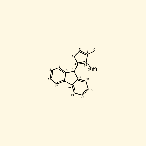 CC1=CCC(C2c3ccccc3-c3ccccc32)=C1C(C)C